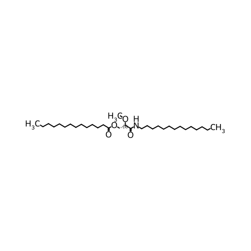 CCCCCCCCCCCCCCNC(=O)[C@H](COC(=O)CCCCCCCCCCCCC)OC